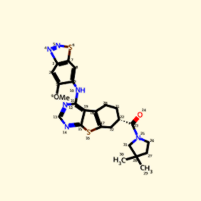 COc1cc2nnsc2cc1Nc1ncnc2sc3c(c12)CC[C@H](C(=O)N1CCC(C)(C)C1)C3